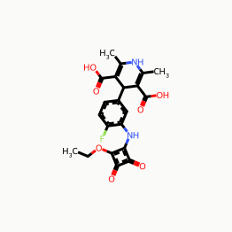 CCOc1c(Nc2cc(C3C(C(=O)O)=C(C)NC(C)=C3C(=O)O)ccc2F)c(=O)c1=O